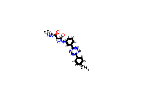 CCCNC(=O)CC(=O)Nc1cccc(-c2nnc(-c3ccc(C)cc3)nn2)c1